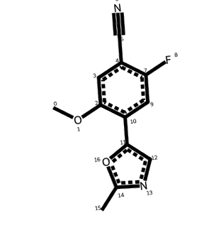 COc1cc(C#N)c(F)cc1-c1cnc(C)o1